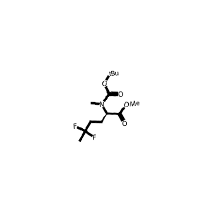 COC(=O)[C@@H](CCC(C)(F)F)N(C)C(=O)OC(C)(C)C